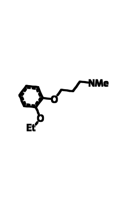 CCOc1ccccc1OCCCNC